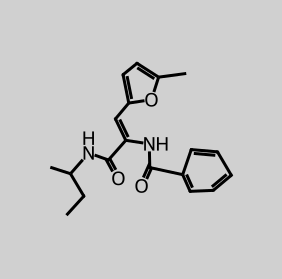 CCC(C)NC(=O)/C(=C/c1ccc(C)o1)NC(=O)c1ccccc1